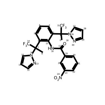 CC(c1cccc(C(C)(n2cccn2)C(F)(F)F)c1NC(=O)c1cccc([N+](=O)[O-])c1)(n1cccn1)C(F)(F)F